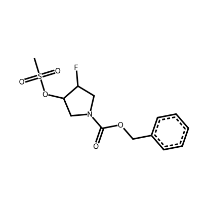 CS(=O)(=O)OC1CN(C(=O)OCc2ccccc2)CC1F